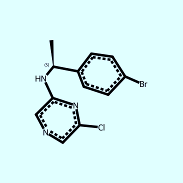 C[C@H](Nc1cncc(Cl)n1)c1ccc(Br)cc1